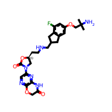 CC(C)(N)COc1cc(F)c2c(c1)CC(CNCC[C@H]1CN(c3cnc4c(n3)NC(=O)CO4)C(=O)O1)C2